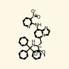 COC(=O)[C@H](Cc1ccc(Nc2ncccc2[N+](=O)[O-])c2nccn12)NC(c1ccccc1)(c1ccccc1)c1ccccc1